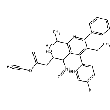 C#COC(=O)CC(O)C(c1c(C(C)C)nc(-c2ccccc2)c(CC)c1-c1ccc(F)cc1)[PH](=O)O